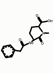 CN1C(=O)C(NC(=O)Cc2ccccc2)CCC1C(=O)O